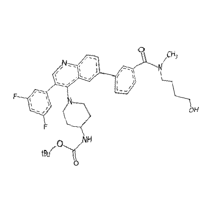 CN(CCCCO)C(=O)c1cccc(-c2ccc3ncc(-c4cc(F)cc(F)c4)c(N4CCC(NC(=O)OC(C)(C)C)CC4)c3c2)c1